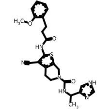 COc1ccccc1CCC(=O)Nc1sc2c(c1C#N)CCN(C(=O)NC(C)c1c[nH]cn1)C2